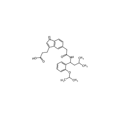 CC(C)CC(NC(=O)Cc1ccc2[nH]cc(CCC(=O)O)c2c1)c1ccccc1OC(C)C